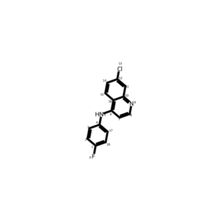 Fc1ccc(Nc2ccnc3cc(Cl)ccc23)cc1